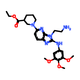 CCOC(=O)C1CCCN(c2ccc3nc(Nc4cc(OC)c(OC)c(OC)c4)n(CCN)c3n2)C1